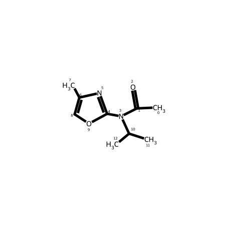 CC(=O)N(c1nc(C)co1)C(C)C